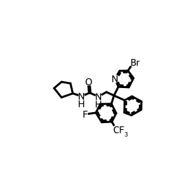 O=C(NCC(c1ccccc1)(c1cc(F)cc(C(F)(F)F)c1)c1ccc(Br)cn1)NC1CCCC1